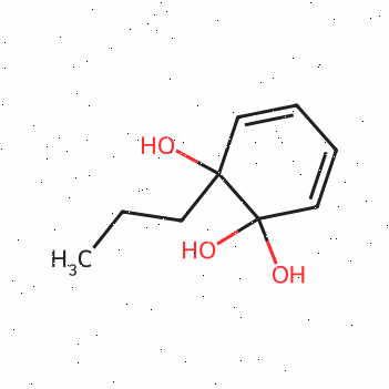 CCCC1(O)C=CC=CC1(O)O